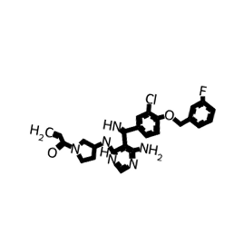 C=CC(=O)N1CCC(Nc2ncnc(N)c2C(=N)c2ccc(OCc3cccc(F)c3)c(Cl)c2)C1